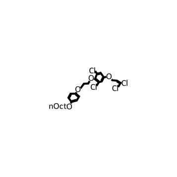 CCCCCCCCOc1ccc(OCCCOc2c(Cl)cc(OCC=C(Cl)Cl)cc2Cl)cc1